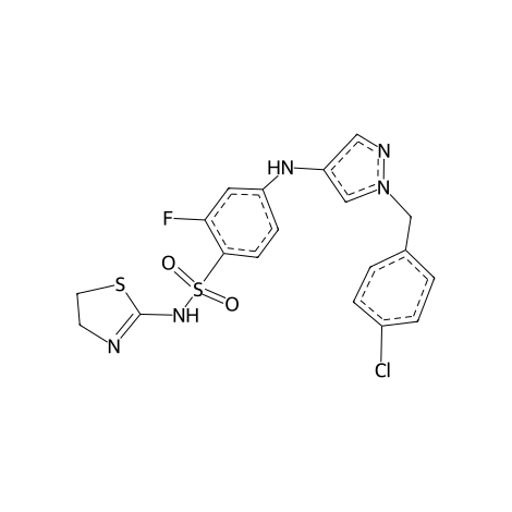 O=S(=O)(NC1=NCCS1)c1ccc(Nc2cnn(Cc3ccc(Cl)cc3)c2)cc1F